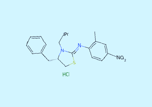 Cc1cc([N+](=O)[O-])ccc1N=C1SC[C@H](Cc2ccccc2)N1CC(C)C.Cl